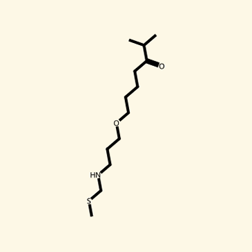 CSCNCCCOCCCCC(=O)C(C)C